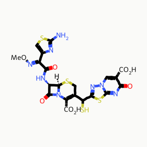 CON=C(C(=O)N[C@@H]1C(=O)N2C(C(=O)O)=C(C(S)c3nn4cc(C(=O)O)c(=O)nc4s3)CS[C@H]12)c1csc(N)n1